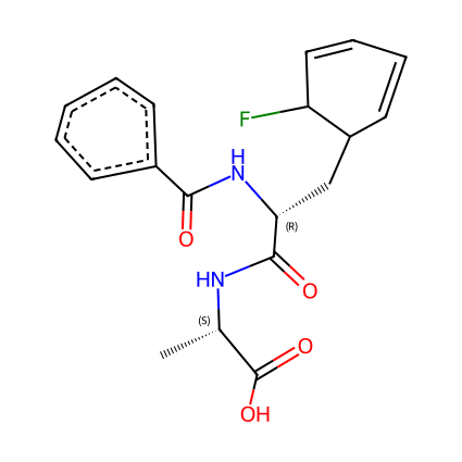 C[C@H](NC(=O)[C@@H](CC1C=CC=CC1F)NC(=O)c1ccccc1)C(=O)O